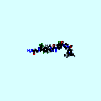 Cn1c(-c2ccc(-c3cn(CCC(N)=O)nc3C(F)(F)F)c(F)c2F)cnc1C(=O)Nc1ccc(C(=O)N2CCN(C(=O)C3CC[N+](C)(C)CC3)CC2)c(Cl)c1